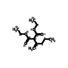 C=C(CCC)C(C(=O)OCC)C(=O)OCC